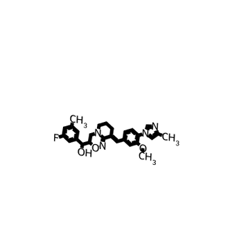 COc1cc(/C=C2\CCCN3CC(C(O)c4cc(C)cc(F)c4)ON=C23)ccc1-n1cnc(C)c1